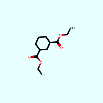 CCC(C)COC(=O)C1CCCC(C(=O)OCC(C)CC)C1